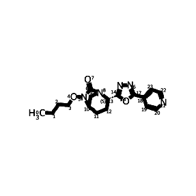 CCCCON1C(=O)N2CC1CC[C@H]2c1nnc(-c2ccncc2)o1